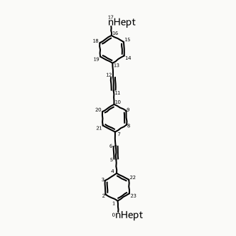 CCCCCCCc1ccc(C#Cc2ccc(C#Cc3ccc(CCCCCCC)cc3)cc2)cc1